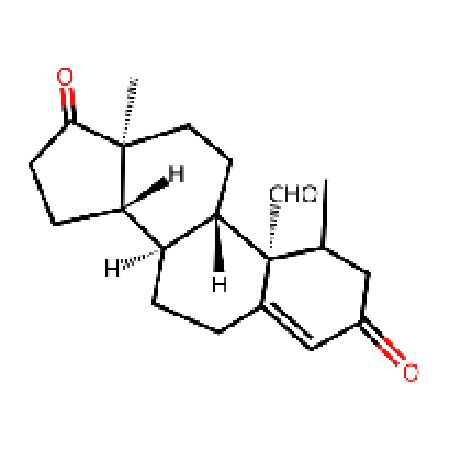 CC1CC(=O)C=C2CC[C@H]3[C@@H]4CCC(=O)[C@@]4(C)CC[C@@H]3[C@]21C=O